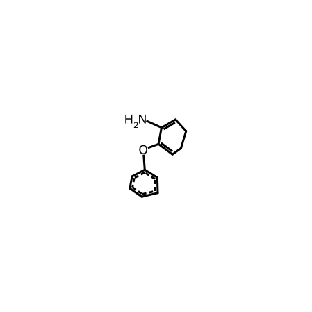 NC1=CCCC=C1Oc1ccccc1